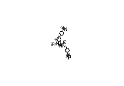 Cc1ccn(-c2ccc(CNC(=O)c3nn(C(C)C)c4c3CN(c3ccc(C(=O)N(C)C)cc3)C[C@@H]4C)cc2)n1